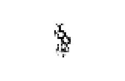 CC(C)c1cc2ccc3c(c2cn1)OC(F)(F)O3